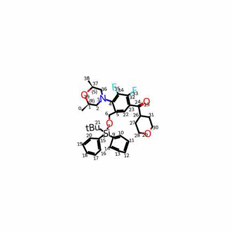 C[C@@H]1CN(c2c(CO[Si](c3ccccc3)(c3ccccc3)C(C)(C)C)cc(C(=O)C3CCOCC3)c(F)c2F)C[C@H](C)O1